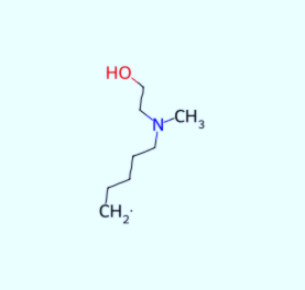 [CH2]CCCCN(C)CCO